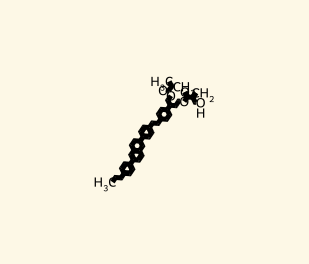 C=C(C)C(=O)OCC(CCOC(=O)C(=C)CO)C1CCC(CCc2ccc(C3CCc4cc(-c5ccc(CCC)cc5)ccc4C3)cc2)CC1